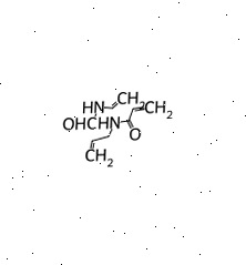 C=CCNC(=O)C=C.C=CNC=O